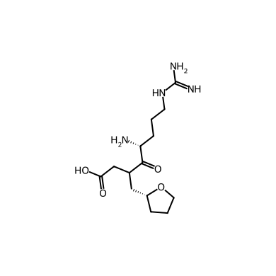 N=C(N)NCCC[C@@H](N)C(=O)C(CC(=O)O)C[C@H]1CCCO1